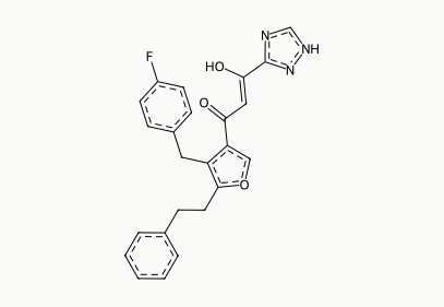 O=C(C=C(O)c1nc[nH]n1)c1coc(CCc2ccccc2)c1Cc1ccc(F)cc1